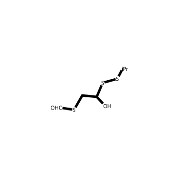 CC(C)SSC(O)CSC=O